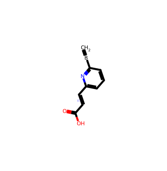 C=Bc1cccc(/C=C/C(=O)O)n1